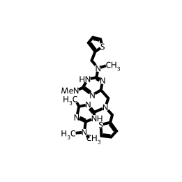 CNC1=NC(CN(Cc2cccs2)C2=NC(C)N=C(N(C)C)N2)N=C(N(C)Cc2cccs2)N1